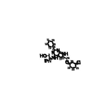 CC(C)[C@H](CO)Nc1nc(-c2ccccc2)nc2[nH]c(COc3cccc(Cl)c3)cc12